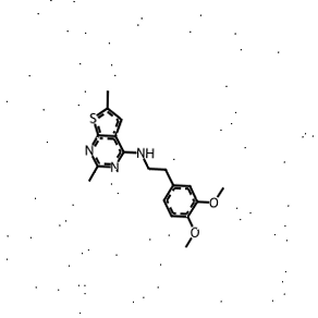 COc1ccc(CCNc2nc(C)nc3sc(C)cc23)cc1OC